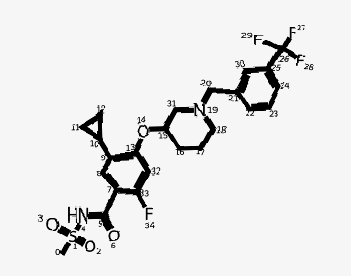 CS(=O)(=O)NC(=O)c1cc(C2CC2)c(OC2CCCN(Cc3cccc(C(F)(F)F)c3)C2)cc1F